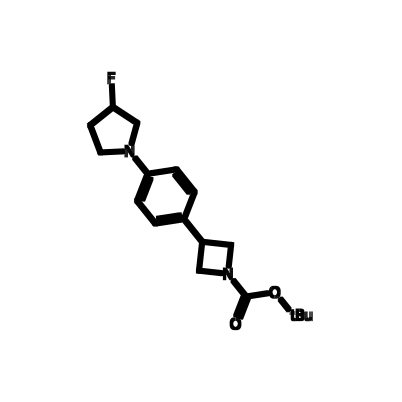 CC(C)(C)OC(=O)N1CC(c2ccc(N3CCC(F)C3)cc2)C1